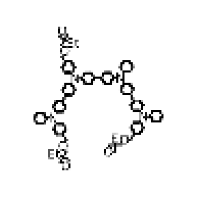 CCC1(COCc2ccc(N(c3ccccc3)c3ccc(-c4ccc(N(c5ccccc5)c5ccc(-c6ccc(N(c7ccc(COCC8(CC)COC8)cc7)c7ccc(-c8ccc(N(c9ccccc9)c9ccc(COCC%10(CC)COC%10)cc9)cc8)cc7)cc6)cc5)cc4)cc3)cc2)COC1